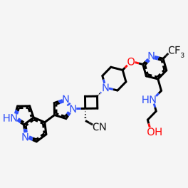 N#CC[C@]1(n2cc(-c3ccnc4[nH]ccc34)cn2)C[C@H](N2CCC(Oc3cc(CNCCO)cc(C(F)(F)F)n3)CC2)C1